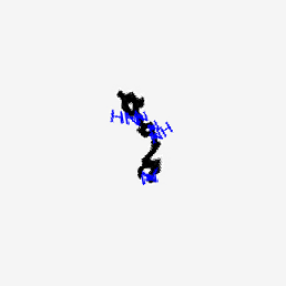 Cc1cc(C)c2nc(-c3ccc(NCCCC4CCN(C)CC4)nc3)[nH]c2c1